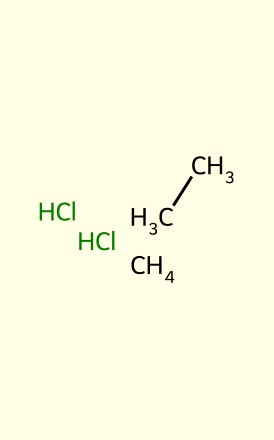 C.CC.Cl.Cl